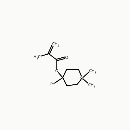 C=C(C)C(=O)OC1(C(C)C)CC[Si](C)(C)CC1